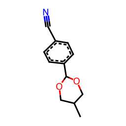 CC1COC(c2ccc(C#N)cc2)OC1